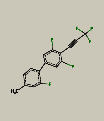 Cc1ccc(-c2cc(F)c(C#CC(F)(F)F)c(F)c2)c(F)c1